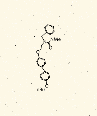 CCCCOc1ccc(-c2ccc(OCCN(Cc3ccccc3)C(=O)NC)cc2)cc1